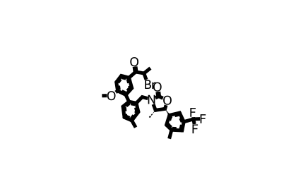 COc1ccc(C(=O)C(C)Br)cc1-c1ccc(C)cc1CN1C(=O)O[C@H](c2cc(C)cc(C(F)(F)F)c2)[C@@H]1C